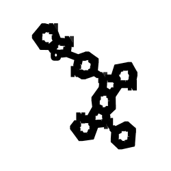 c1ccc(-n2c3cc4c5ncccc5n(-c5ccc(-c6nc7ncccc7o6)nc5)c4cc3c3ncccc32)cc1